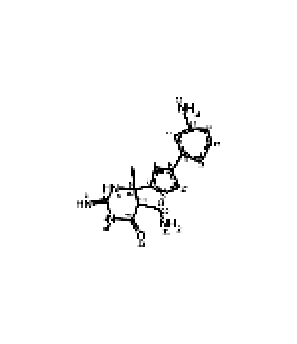 CN1C(=N)N[C@](C)(c2cc(-c3cccc(N)c3)cs2)C(CN)C1=O